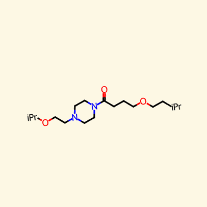 CC(C)CCOCCCC(=O)N1CCN(CCOC(C)C)CC1